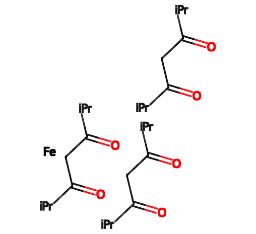 CC(C)C(=O)CC(=O)C(C)C.CC(C)C(=O)CC(=O)C(C)C.CC(C)C(=O)CC(=O)C(C)C.[Fe]